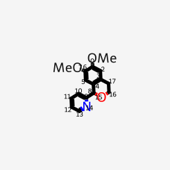 COc1cc2c(cc1OC)C(c1ccccn1)OCC2